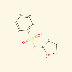 O=S(=O)(CC1CCCO1)c1ccccc1